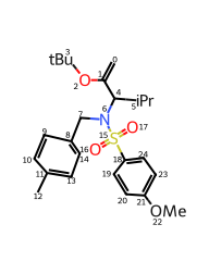 C=C(OC(C)(C)C)C(C(C)C)N(Cc1ccc(C)cc1)S(=O)(=O)c1ccc(OC)cc1